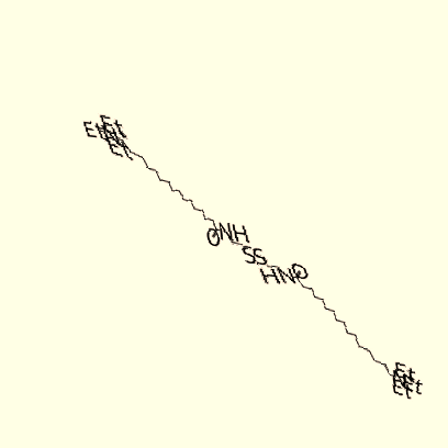 CC[N+](CC)(CC)CCCCCCCCCCCCCCCC(=O)NCCSSCCNC(=O)CCCCCCCCCCCCCCC[N+](CC)(CC)CC